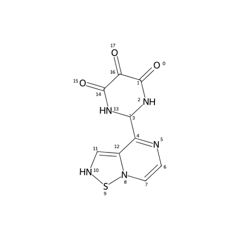 O=C1N[C](C2=NC=CN3SNC=C23)NC(=O)C1=O